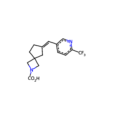 O=C(O)N1CC2(CC/C(=C/c3ccc(C(F)(F)F)nc3)C2)C1